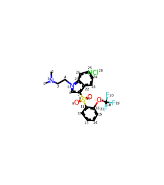 CN(C)CCn1cc(S(=O)(=O)c2ccccc2OC(F)(F)F)c2ccccc21.Cl